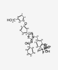 O=C(O)c1cccc(Oc2cccc(-c3nn(Cc4ccc(C(F)(F)P(=O)(O)O)c(Br)c4)c(=NC(=O)c4ccccc4)s3)c2)c1